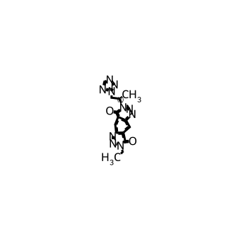 CCn1nnc2cc3c(=O)n([C@H](C)Cn4ncnn4)nnc3cc2c1=O